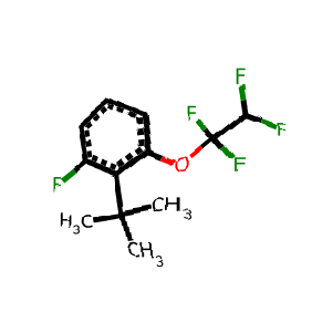 CC(C)(C)c1c(F)cccc1OC(F)(F)C(F)F